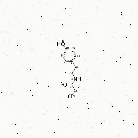 O=C(CCl)NCCc1ccc(O)cc1